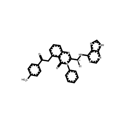 CC[C@H](Nc1ncnc2[nH]cnc12)c1nc2cccc(CC(=O)c3ccc(C(=O)O)cc3)c2c(=O)n1-c1ccccc1